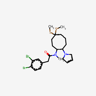 CSC1(SC)CCCC(N2CC=CC2)C(N(C)C(=O)Cc2ccc(Br)c(Br)c2)CC1